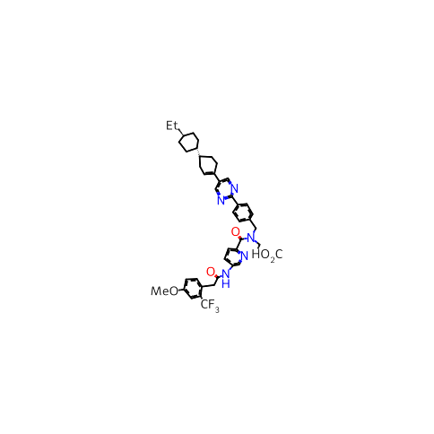 CC[C@H]1CC[C@H](C2CC=C(c3cnc(-c4ccc(CN(CC(=O)O)C(=O)c5ccc(NC(=O)Cc6ccc(OC)cc6C(F)(F)F)cn5)cc4)nc3)CC2)CC1